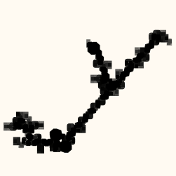 CCN(CCN(CCN(CCN)CC(=O)O)CC(=O)O)CC(=O)NCCCN1N=NC2c3ccccc3N(C(=O)CCC(=O)NCCOCCOCCOCCOCCC(=O)NC(CCC(=O)NCCCCCC(=O)NCCCC(=O)NCCCCOP(N)(=O)O)C(=O)NC(CCCCNC(=O)CCCc3ccc(I)cc3)C(=O)O)Cc3ccccc3C21